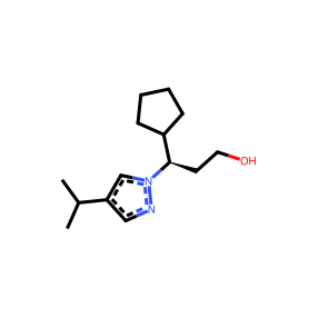 CC(C)c1cnn([C@H](CCO)C2CCCC2)c1